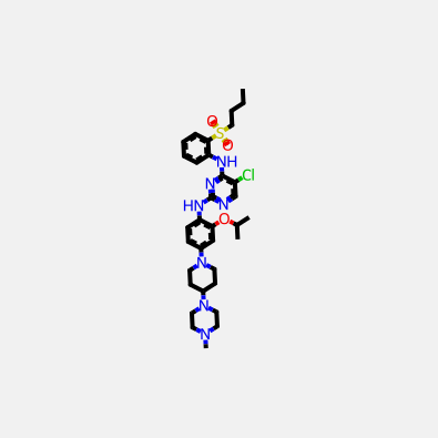 CCCCS(=O)(=O)c1ccccc1Nc1nc(Nc2ccc(N3CCC(N4CCN(C)CC4)CC3)cc2OC(C)C)ncc1Cl